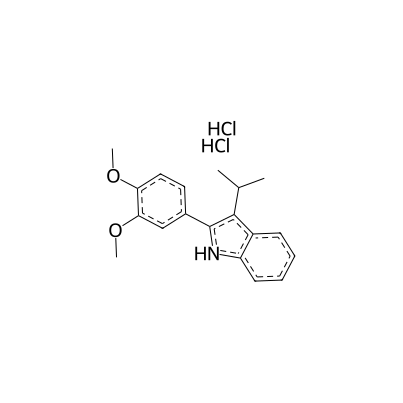 COc1ccc(-c2[nH]c3ccccc3c2C(C)C)cc1OC.Cl.Cl